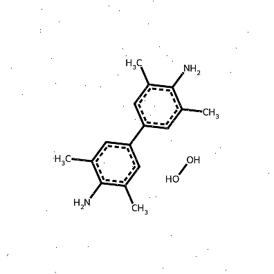 Cc1cc(-c2cc(C)c(N)c(C)c2)cc(C)c1N.OO